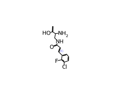 C=C(O)C(N)CNC(=O)/C=C/c1cccc(Cl)c1F